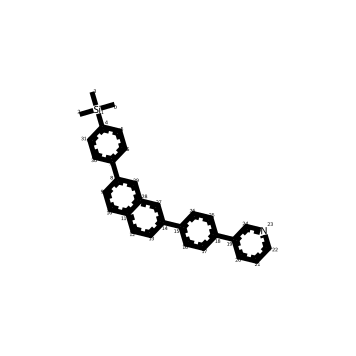 C[Si](C)(C)c1ccc(-c2ccc3ccc(-c4ccc(-c5cccnc5)cc4)cc3c2)cc1